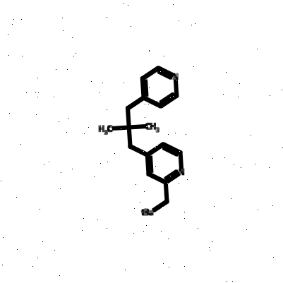 CC(C)(C)Cc1cc(CC(C)(C)Cc2ccncc2)ccn1